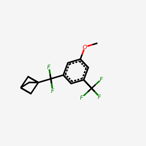 COc1cc(C(F)(F)F)cc(C(F)(F)C23CC(C2)C3)c1